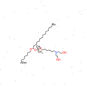 CCCCCCCCCCCCCCCCOC(CCCCCCCCCCCCC(C)CC)O[Si](C)(C)OCCCCCCN(CCO)CCO